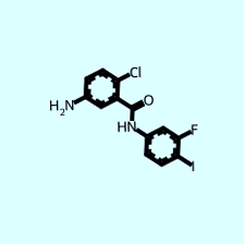 Nc1ccc(Cl)c(C(=O)Nc2ccc(I)c(F)c2)c1